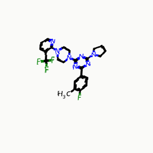 Cc1cc(-c2nc(N3CCCC3)nc(N3CCN(c4ncccc4C(F)(F)F)CC3)n2)ccc1F